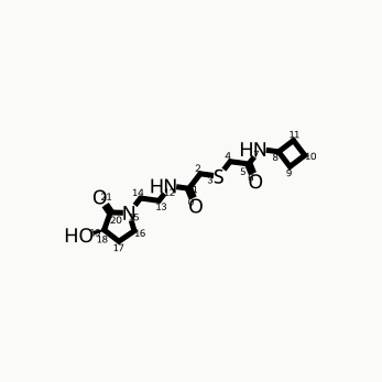 O=C(CSCC(=O)NC1CCC1)NCCN1CC[C@@H](O)C1=O